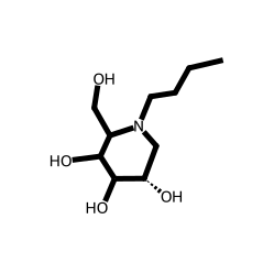 CCCCN1C[C@H](O)C(O)C(O)C1CO